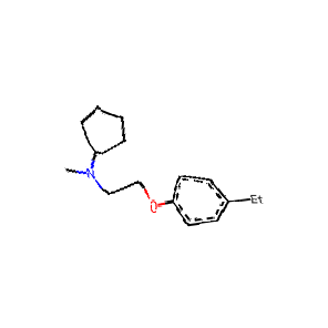 CCc1ccc(OCCN(C)C2CCCC2)cc1